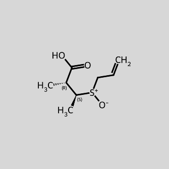 C=CC[S+]([O-])[C@@H](C)[C@H](C)C(=O)O